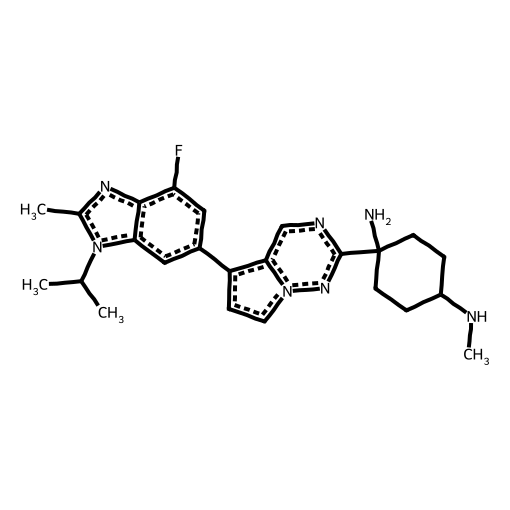 CNC1CCC(N)(c2ncc3c(-c4cc(F)c5nc(C)n(C(C)C)c5c4)ccn3n2)CC1